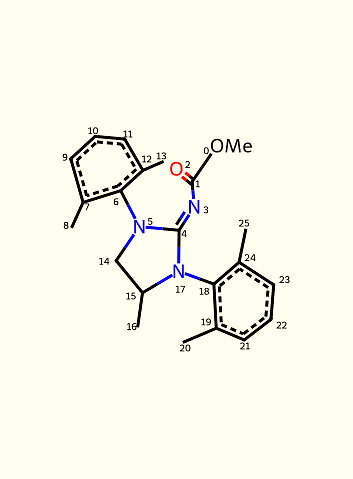 COC(=O)N=C1N(c2c(C)cccc2C)CC(C)N1c1c(C)cccc1C